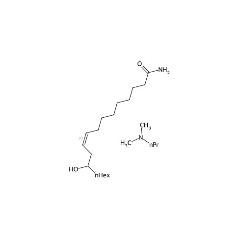 CCCCCCC(O)C/C=C\CCCCCCCC(N)=O.CCCN(C)C